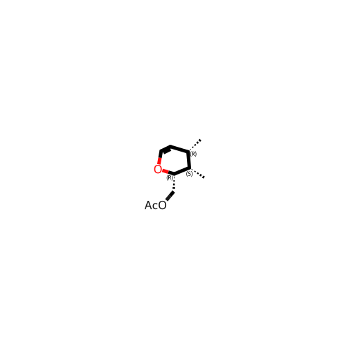 CC(=O)OC[C@@H]1OC=C[C@H](C)[C@@H]1C